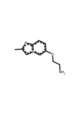 Cc1cn2cc(OCCN)ccc2n1